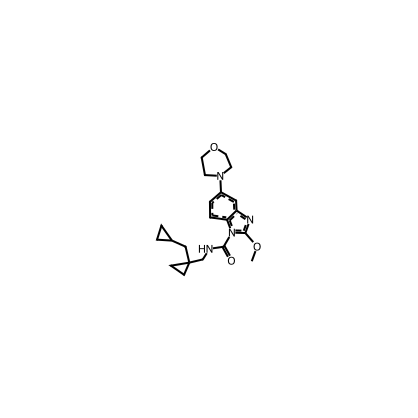 COc1nc2cc(N3CCOCC3)ccc2n1C(=O)NCC1(CC2CC2)CC1